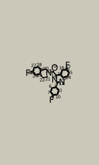 O=C(c1nc(-c2ccc(F)cc2)nc2ccc(F)cc12)N1CCc2cc(F)ccc2C1